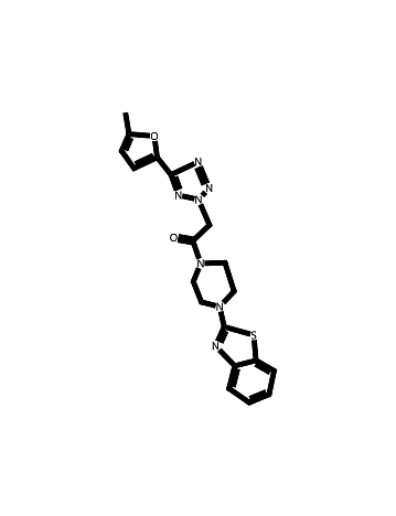 Cc1ccc(-c2nnn(CC(=O)N3CCN(c4nc5ccccc5s4)CC3)n2)o1